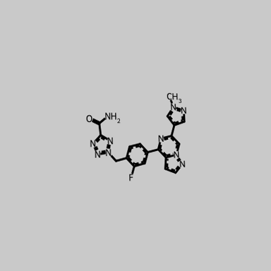 Cn1cc(-c2cn3nccc3c(-c3ccc(Cn4nnc(C(N)=O)n4)c(F)c3)n2)cn1